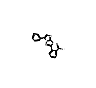 O=C(O)c1ccccc1-c1nn2c(-c3ccccc3)cnc2s1